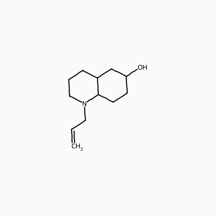 C=CCN1CCCC2CC(O)CCC21